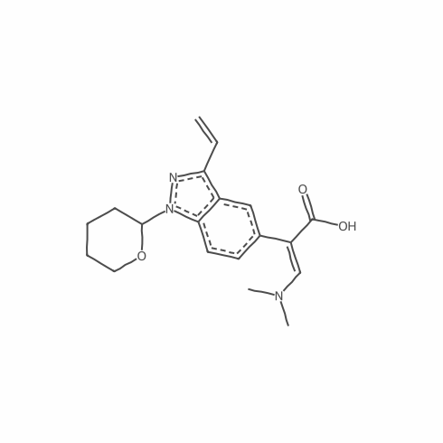 C=Cc1nn(C2CCCCO2)c2ccc(/C(=C\N(C)C)C(=O)O)cc12